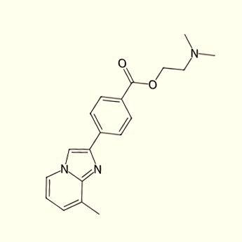 Cc1cccn2cc(-c3ccc(C(=O)OCCN(C)C)cc3)nc12